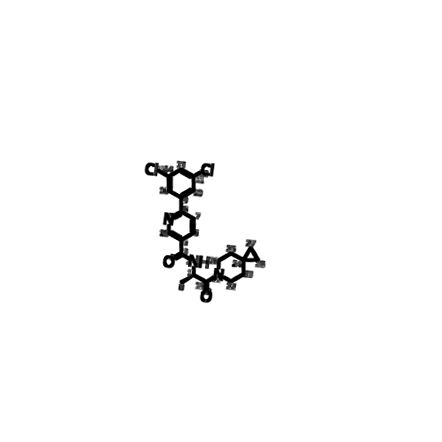 C[C@@H](NC(=O)c1ccc(-c2cc(Cl)cc(Cl)c2)nc1)C(=O)N1CCC2(CC1)CC2